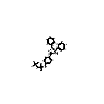 CC(C)(C)CC(C)(C)Oc1ccc(C2=NN(c3ccccc3)N(c3ccccc3)N2)cc1